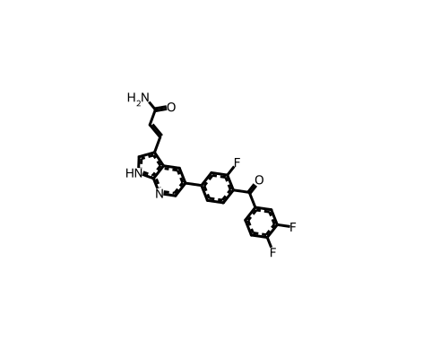 NC(=O)C=Cc1c[nH]c2ncc(-c3ccc(C(=O)c4ccc(F)c(F)c4)c(F)c3)cc12